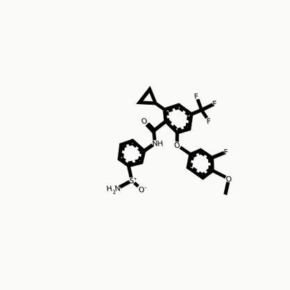 COc1ccc(Oc2cc(C(F)(F)F)cc(C3CC3)c2C(=O)Nc2cccc([S+](N)[O-])c2)cc1F